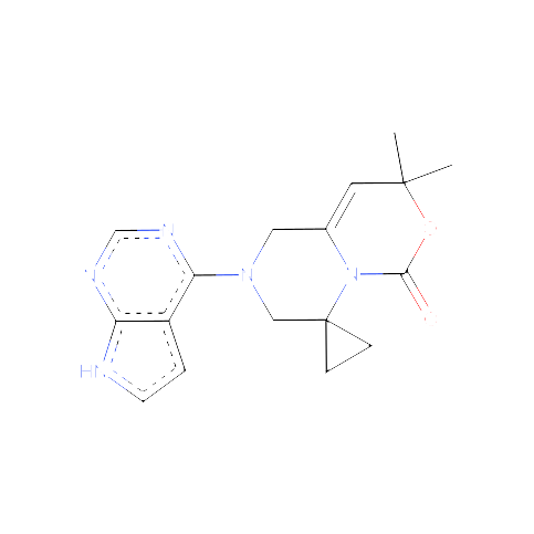 CC1(C)C=C2CN(c3ncnc4[nH]ccc34)CC3(CC3)N2C(=O)O1